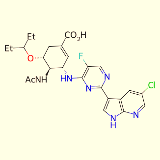 CCC(CC)O[C@@H]1CC(C(=O)O)=C[C@H](Nc2nc(-c3c[nH]c4ncc(Cl)cc34)ncc2F)[C@H]1NC(C)=O